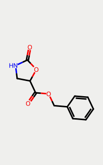 O=C1NCC(C(=O)OCc2ccccc2)O1